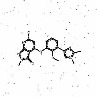 COc1c(Nc2cc(Cl)nc3[nH]n(C)c(=O)c23)cccc1-c1nc(C)n(C)n1